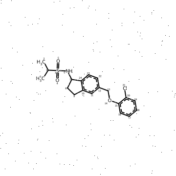 CC(C)S(=O)(=O)NC1CCc2cc(COc3ccccc3Cl)ccc21